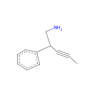 [CH2]C#CC(CN)c1ccccc1